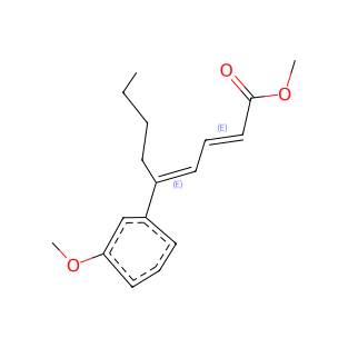 CCCC/C(=C\C=C\C(=O)OC)c1cccc(OC)c1